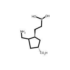 NCC1C[C@@H](C(=O)O)C[C@@H]1CCB(O)O